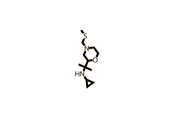 CSCN1CCOC(C(C)(C)NC2CC2)C1